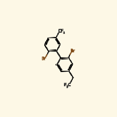 FC(F)(F)Cc1c[c]c(-c2cc(C(F)(F)F)ccc2Br)c(Br)c1